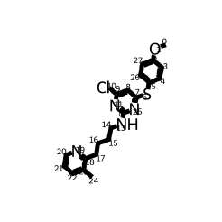 COc1ccc(Sc2cc(Cl)nc(NCCCCc3ncccc3C)n2)cc1